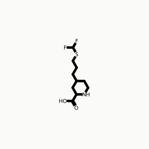 O=C(O)C1CC(CCCSC(F)F)CCN1